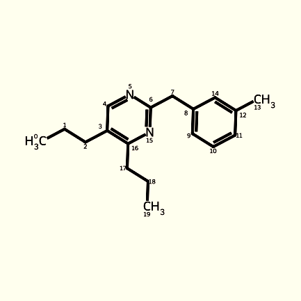 CCCc1cnc(Cc2cccc(C)c2)nc1CCC